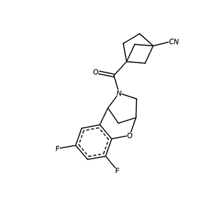 N#CC12CCC(C(=O)N3CC4CC3c3cc(F)cc(F)c3O4)(C1)C2